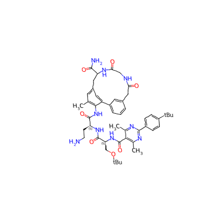 Cc1cc2cc(c1NC(=O)[C@H](CCN)NC(=O)[C@H](COC(C)(C)C)NC(=O)c1c(C)nc(-c3ccc(C(C)(C)C)cc3)nc1C)-c1cccc(c1)CC(=O)NCC(=O)NC(C(N)=O)C2